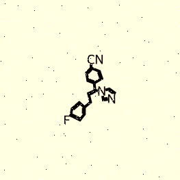 N#Cc1ccc(C(=CCc2ccc(F)cc2)n2ccnc2)cc1